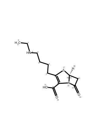 CCNCCCCC1=C(C(=O)O)N2C(=O)C[C@@H]2S1